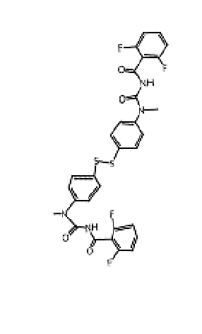 CN(C(=O)NC(=O)c1c(F)cccc1F)c1ccc(SSc2ccc(N(C)C(=O)NC(=O)c3c(F)cccc3F)cc2)cc1